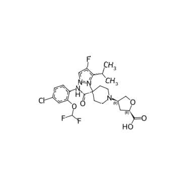 CC(C)c1c(F)cnn1C1(C(=O)Nc2ccc(Cl)cc2OC(F)F)CCN([C@H]2CO[C@@H](C(=O)O)C2)CC1